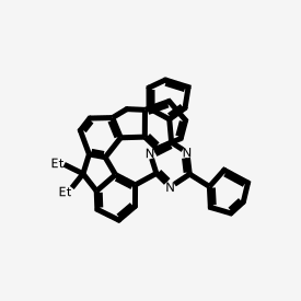 CCC1(CC)c2cccc(-c3nc(-c4ccccc4)nc(-c4ccccc4)n3)c2-c2c1ccc1c2-c2ccccc2C1